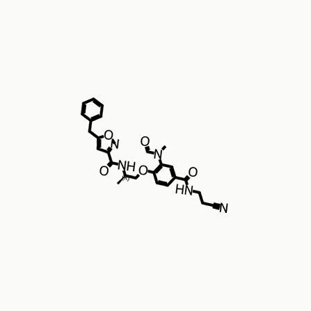 C[C@H](COc1ccc(C(=O)NCCC#N)cc1N(C)C=O)NC(=O)c1cc(Cc2ccccc2)on1